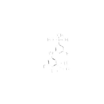 CC(C)(C)c1cc(F)cc(Nc2cc(F)cc(C(C)(C)C)c2)c1